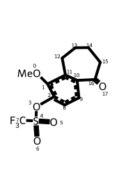 COc1c(OS(=O)(=O)C(F)(F)F)ccc2c1CCCCC2=O